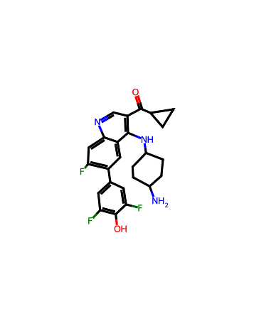 NC1CCC(Nc2c(C(=O)C3CC3)cnc3cc(F)c(-c4cc(F)c(O)c(F)c4)cc23)CC1